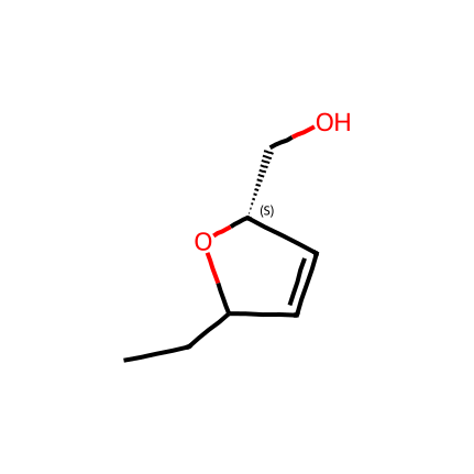 CCC1C=C[C@@H](CO)O1